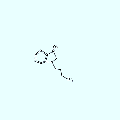 CCCCN1CN(O)c2ccccc21